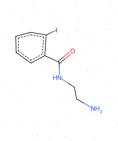 NCCNC(=O)c1ccccc1I